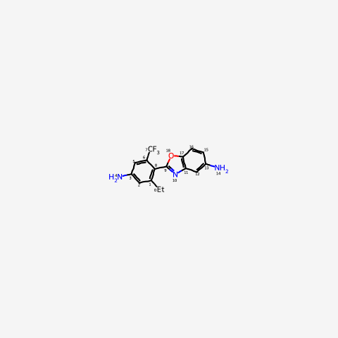 CCc1cc(N)cc(C(F)(F)F)c1-c1nc2cc(N)ccc2o1